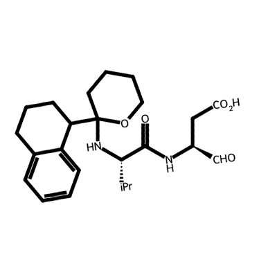 CC(C)[C@H](NC1(C2CCCc3ccccc32)CCCCO1)C(=O)N[C@H](C=O)CC(=O)O